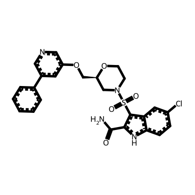 NC(=O)c1[nH]c2ccc(Cl)cc2c1S(=O)(=O)N1CCO[C@H](COc2cncc(-c3ccccc3)c2)C1